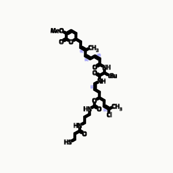 COC1=CCC(C/C=C(C)/C=C\C=C/C(=O)NC(C(=O)N/C=C\CC(C/C=C(\C)Cl)OC(=O)NCCCNC(=O)CCS)C(C)(C)C)OC1=O